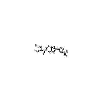 COC(C)C(=O)N1CCc2sc(-c3noc(C(F)(F)F)n3)cc2C1